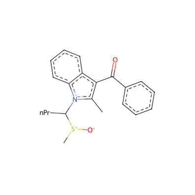 CCCC(n1c(C)c(C(=O)c2ccccc2)c2ccccc21)[S+](C)[O-]